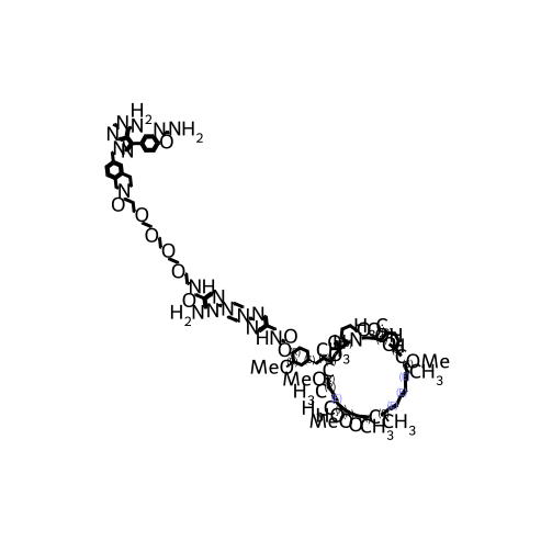 CO[C@H]1C[C@@H]2CC[C@@H](C)[C@@](O)(O2)C(=O)C(=O)N2CCCC[C@H]2C(=O)O[C@H]([C@H](C)C[C@@H]2CC[C@@H](OC(=O)NCc3cnc(N4CCN(c5ncc(C(=O)NCCOCCOCCOCCOCCC(=O)N6CCc7cc(Cn8nc(-c9ccc%10oc(N)nc%10c9)c9c(N)ncnc98)ccc7C6)c(N)n5)CC4)nc3)[C@H](OC)C2)C[C@@H](OC)[C@H](C)/C=C(\C)[C@@H](O)[C@@H](OC)C(=O)[C@H](C)C[C@H](C)/C=C/C=C/C=C/1C